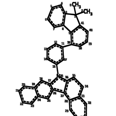 CC1(C)c2ccccc2-c2c(-c3cccc(-n4c5cc6ccccc6cc5c5c6ccccc6ccc54)c3)cccc21